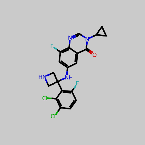 O=c1c2cc(NC3(c4c(F)ccc(Cl)c4Cl)CNC3)cc(F)c2ncn1C1CC1